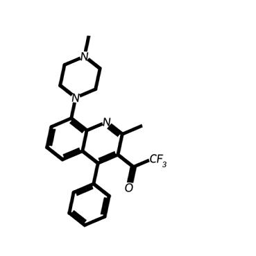 Cc1nc2c(N3CCN(C)CC3)cccc2c(-c2ccccc2)c1C(=O)C(F)(F)F